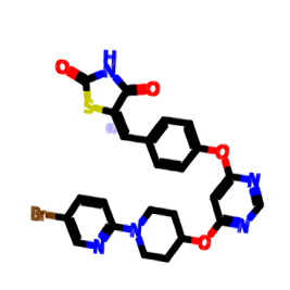 O=C1NC(=O)/C(=C\c2ccc(Oc3cc(OC4CCN(c5ccc(Br)cn5)CC4)ncn3)cc2)S1